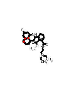 CCN(CC)CCNC(=O)C1=C(C(=O)OC)C2(C(Cc3ccccc3)Nc3cc(F)cc(F)c3)C=CC1O2